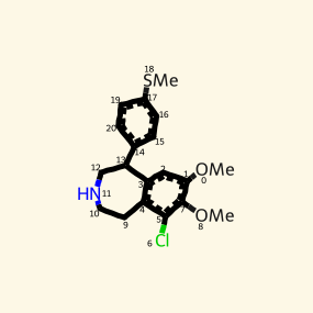 COc1cc2c(c(Cl)c1OC)CCNCC2c1ccc(SC)cc1